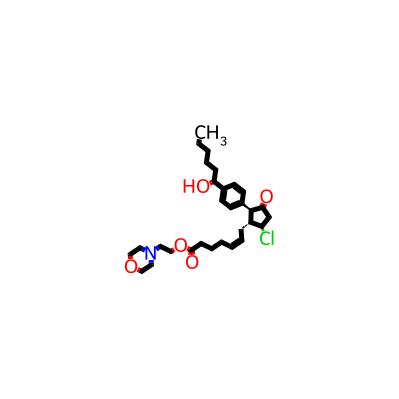 CCCCCC(O)c1ccc([C@H]2C(=O)C[C@@H](Cl)[C@@H]2C/C=C\CCCC(=O)OCCN2CCOCC2)cc1